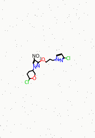 O=[N+]([O-])c1cn(C2CCC(Cl)OC2)nc1OCCCn1ccc(Cl)n1